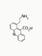 NCCc1cccc2nc3ccccc3c(C(=O)O)c12